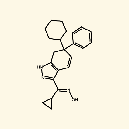 ON=C(c1n[nH]c2c1C=CC(c1ccccc1)(C1CCCCC1)C2)C1CC1